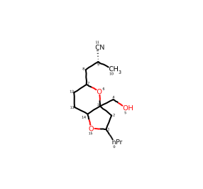 CCCC1CC2(CO)OC(C[C@@H](C)C#N)CCC2O1